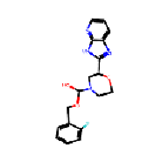 OC(OCc1ccccc1F)N1CCO[C@H](c2nc3cccnc3[nH]2)C1